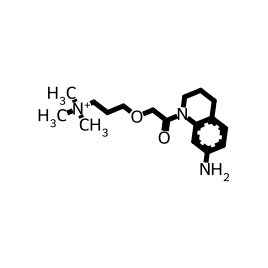 C[N+](C)(C)CCCOCC(=O)N1CCCc2ccc(N)cc21